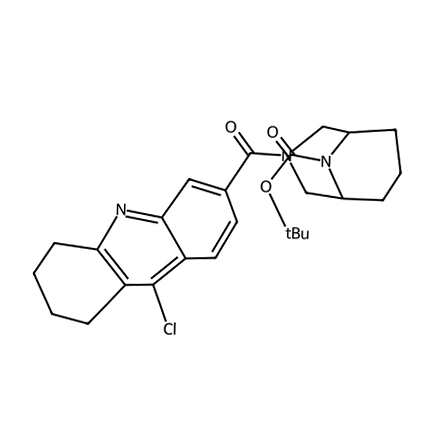 CC(C)(C)OC(=O)N1C2CCCC1CN(C(=O)c1ccc3c(Cl)c4c(nc3c1)CCCC4)C2